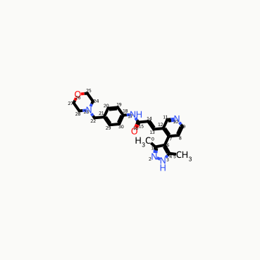 Cc1n[nH]c(C)c1-c1ccncc1C=CC(=O)Nc1ccc(CN2CCOCC2)cc1